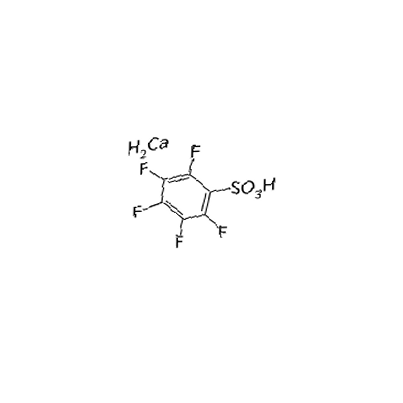 O=S(=O)(O)c1c(F)c(F)c(F)c(F)c1F.[CaH2]